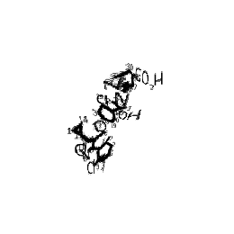 Cc1cccc(Cl)c1-c1noc(C2CC2)c1COc1ccc(C2(O)CN(c3cc(C(=O)O)ccn3)C2)c(Cl)c1